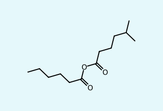 CCCCCC(=O)OC(=O)CCCC(C)C